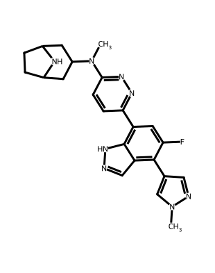 CN(c1ccc(-c2cc(F)c(-c3cnn(C)c3)c3cn[nH]c23)nn1)C1CC2CCC(C1)N2